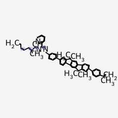 C=C\C=C/C=C(C)/C(C)=N/C(=N\Cc1ccc(-c2ccc3c(c2)C(C)(C)c2cc4c(cc2-3)C(C)(C)c2cc(-c3ccc(C(=C)C)cc3)ccc2-4)cc1)c1ccccn1